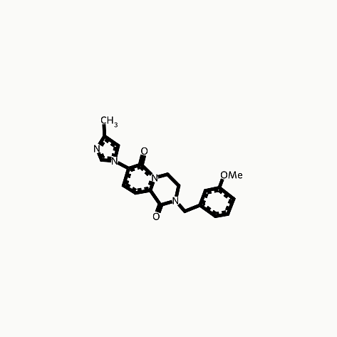 COc1cccc(CN2CCn3c(ccc(-n4cnc(C)c4)c3=O)C2=O)c1